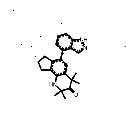 CC1(C)Nc2c(cc(-c3cccc4[nH]ncc34)c3c2CCC3)C(C)(C)C1=O